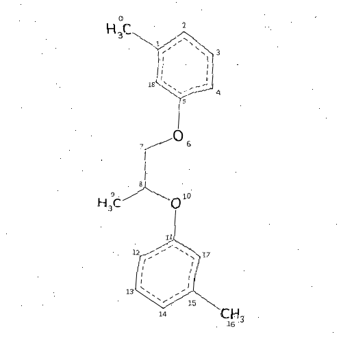 Cc1cccc(OCC(C)Oc2cccc(C)c2)c1